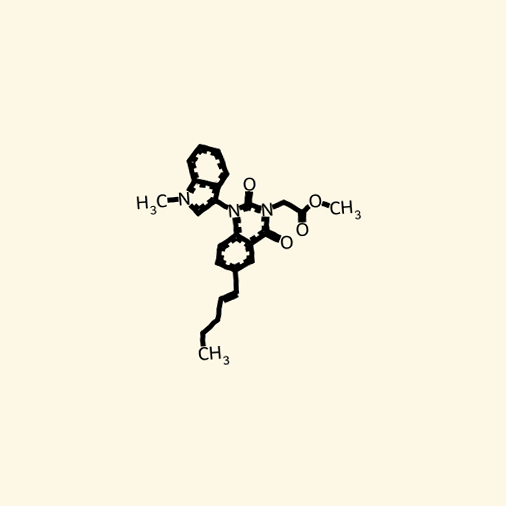 CCC/C=C/c1ccc2c(c1)c(=O)n(CC(=O)OC)c(=O)n2-c1cn(C)c2ccccc12